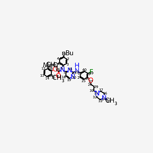 CCCCc1ccc(N(C(=O)Oc2c(C)cccc2C)c2ccnc(Nc3ccc(OCCCN4CCN(C)CC4)c(F)c3)n2)c(OC)c1